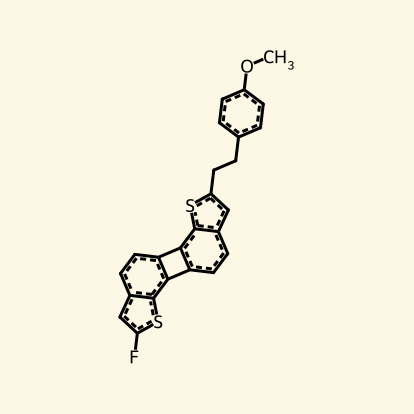 COc1ccc(CCc2cc3ccc4c(c3s2)-c2ccc3cc(F)sc3c2-4)cc1